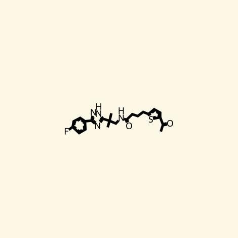 CC(=O)c1ccc(CCCC(=O)NCC(C)(C)c2nc(-c3ccc(F)cc3)n[nH]2)s1